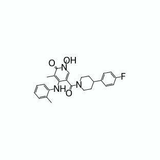 Cc1ccccc1Nc1c(C(=O)N2CCC(c3ccc(F)cc3)CC2)cn(O)c(=O)c1C